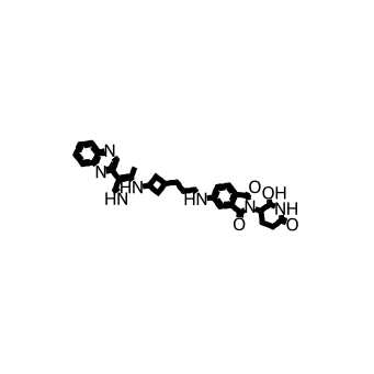 C/C(NC1CC(CCCNc2ccc3c(c2)C(=O)N(C2CCC(=O)NC2O)C3=O)C1)=C(/C=N)c1cnc2ccccc2n1